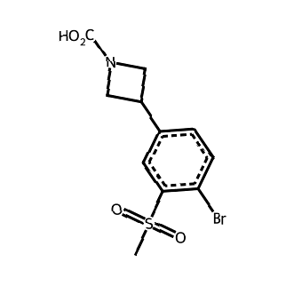 CS(=O)(=O)c1cc(C2CN(C(=O)O)C2)ccc1Br